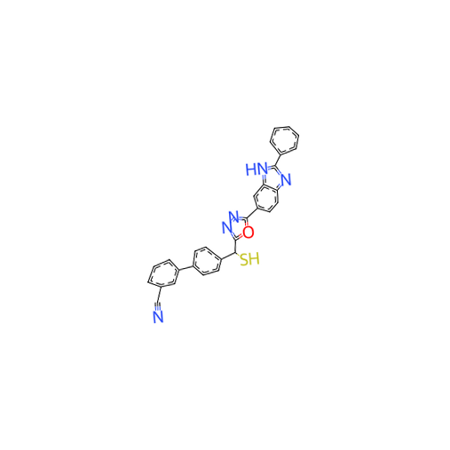 N#Cc1cccc(-c2ccc(C(S)c3nnc(-c4ccc5nc(-c6ccccc6)[nH]c5c4)o3)cc2)c1